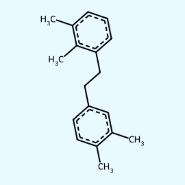 Cc1ccc(CCc2cccc(C)c2C)cc1C